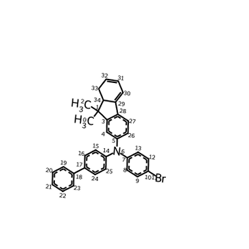 CC1(C)c2cc(N(c3ccc(Br)cc3)c3ccc(-c4ccccc4)cc3)ccc2C2=CC=CCC21